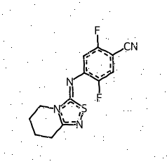 N#Cc1cc(F)c(N=c2snc3n2CCCC3)cc1F